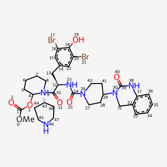 COC(=O)OC1CCCC[N@+]1(C(=O)[C@@H](Cc1cc(Br)c(O)c(Br)c1)NC(=O)N1CCC(N2Cc3ccccc3NC2=O)CC1)C1CCNCC1